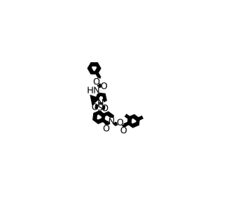 Cc1ccc(C(=O)OCn2ccc3c(S(=O)(=O)N4CCC(NC(=O)OCc5ccccc5)C45CC5)cccc3c2=O)c(C)c1